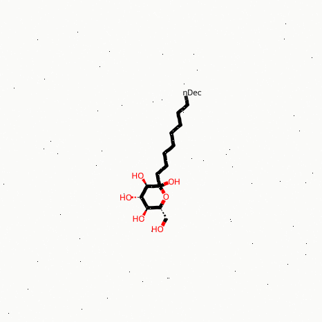 CCCCCCCCCCCCCCCCCCC1(O)O[C@H](CO)[C@@H](O)[C@H](O)[C@H]1O